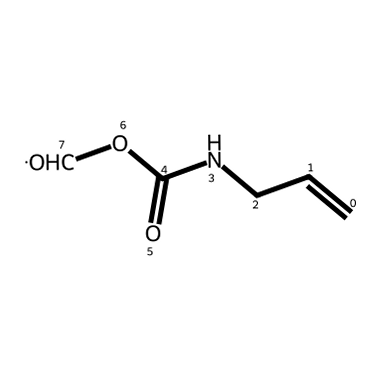 C=CCNC(=O)O[C]=O